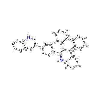 c1ccc2ncc(-c3ccc(-c4nc5ccccc5c5c6ccccc6c6ccccc6c45)cc3)cc2c1